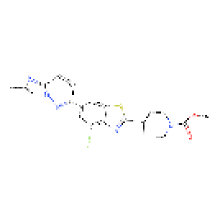 Cc1cn2nc(-c3cc(F)c4nc(C5CCN(C(=O)OC(C)(C)C)CC5)sc4c3)ccc2n1